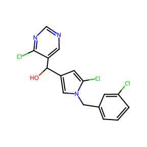 OC(c1cc(Cl)n(Cc2cccc(Cl)c2)c1)c1cncnc1Cl